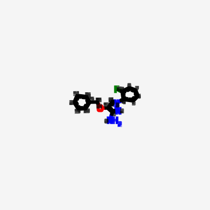 Nc1nn(-c2ccccc2F)cc1OCc1ccccc1